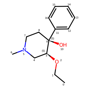 CCO[C@H]1CN(C)CC[C@]1(O)c1ccccc1